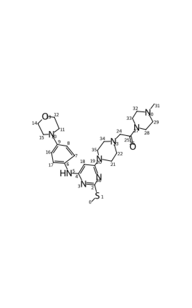 CSc1nc(Nc2ccc(N3CCOCC3)cc2)cc(N2CCN(CC(=O)N3CCN(C)CC3)CC2)n1